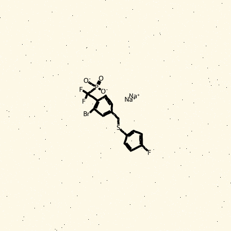 O=P([O-])([O-])C(F)(F)c1ccc(CSc2ccc(F)cc2)cc1Br.[Na+].[Na+]